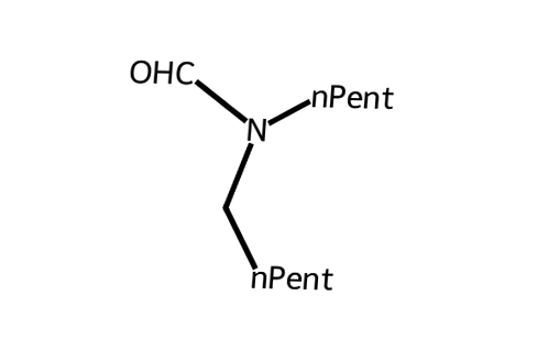 CCCCCCN(C=O)CCCCC